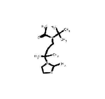 CC(=O)N(CCC(C)(C)N1CCOC1C)C(C)(C)C